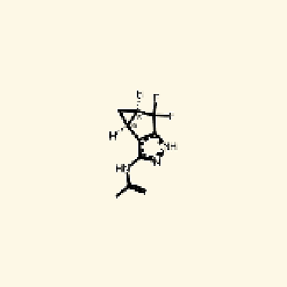 C=C(C)Nc1n[nH]c2c1[C@H]1C[C@H]1C2(F)F